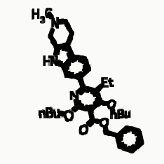 CCCCOc1nc(-c2ccc3c4c([nH]c3c2)CN(C)CC4)c(CC)c(OCCCC)c1C(=O)OCc1ccccc1